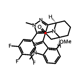 COc1cccc2c1c(C(=O)N1[C@H]3CCC[C@@H]1c1nn(C)c(-c4cc(F)c(F)c(F)c4)c1C3)nn2C